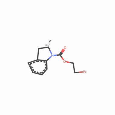 [CH2][C@H]1Cc2ccccc2N1C(=O)OCCBr